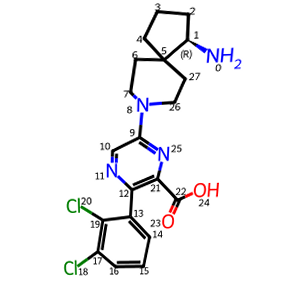 N[C@@H]1CCCC12CCN(c1cnc(-c3cccc(Cl)c3Cl)c(C(=O)O)n1)CC2